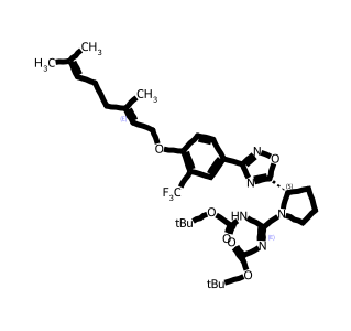 CC(C)=CCC/C(C)=C/COc1ccc(-c2noc([C@@H]3CCCN3/C(=N/C(=O)OC(C)(C)C)NC(=O)OC(C)(C)C)n2)cc1C(F)(F)F